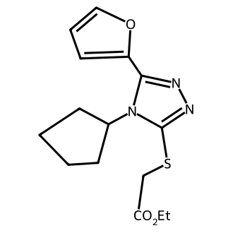 CCOC(=O)CSc1nnc(-c2ccco2)n1C1CCCC1